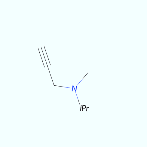 C#CCN(C)C(C)C